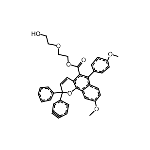 COc1ccc(-c2c(C(=O)OCCOCCO)c3c(c4cc(OC)ccc24)OC(c2cc#ccc2)(c2ccccc2)C=C3)cc1